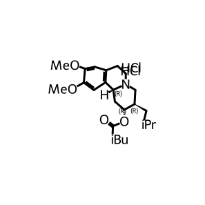 CCC(C)C(=O)O[C@@H]1C[C@@H]2c3cc(OC)c(OC)cc3CCN2C[C@H]1CC(C)C.Cl.Cl